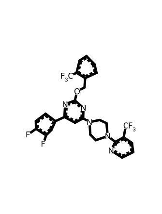 Fc1ccc(-c2cc(N3CCN(c4ncccc4C(F)(F)F)CC3)nc(OCc3ccccc3C(F)(F)F)n2)cc1F